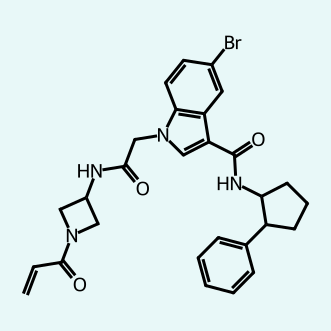 C=CC(=O)N1CC(NC(=O)Cn2cc(C(=O)NC3CCCC3c3ccccc3)c3cc(Br)ccc32)C1